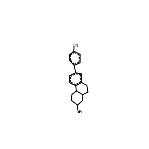 CCCC1CCC2c3ccc(-c4ccc(C#N)cc4)cc3CCC2C1